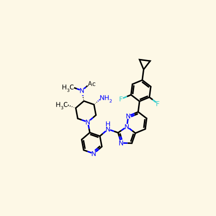 CC(=O)N(C)[C@@H]1[C@H](N)CN(c2ccncc2Nc2ncc3ccc(-c4c(F)cc(C5CC5)cc4F)nn23)C[C@@H]1C